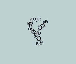 CCCc1ccc(CNC(=O)[C@H]2CN(C(=O)Cn3nnc(CC(=O)OCC)n3)CCN2S(=O)(=O)c2ccc(OC(F)(F)F)cc2)cc1